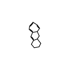 C1=CC=C2C=C3CCCCC3CC2C=C1